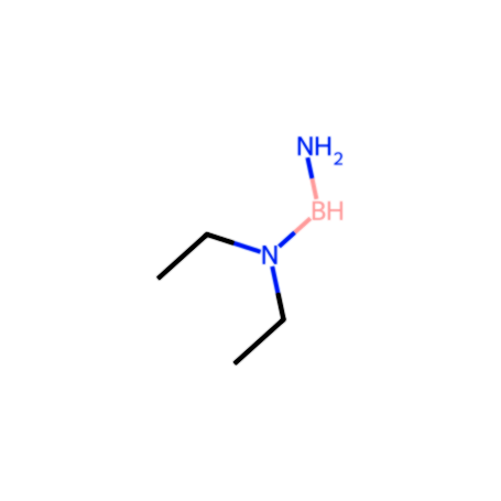 CCN(BN)CC